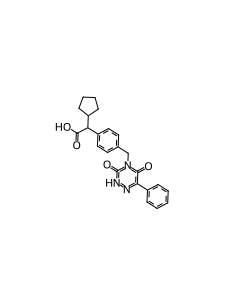 O=C(O)C(c1ccc(Cn2c(=O)[nH]nc(-c3ccccc3)c2=O)cc1)C1CCCC1